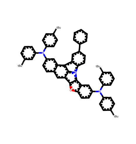 CC(C)(C)c1ccc(N(c2cccc(C(C)(C)C)c2)c2ccc3cc4c5oc6ccc(N(c7ccc(C(C)(C)C)cc7)c7cccc(C(C)(C)C)c7)cc6c5n5c6ccc(-c7ccccc7)cc6c(c3c2)c45)cc1